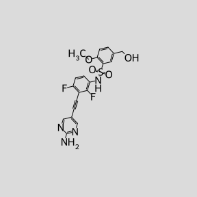 COc1ccc(CO)cc1S(=O)(=O)Nc1ccc(F)c(C#Cc2cnc(N)nc2)c1F